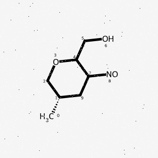 C[C@@H]1COC(CO)C(N=O)C1